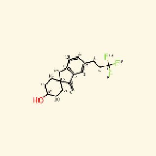 C=C1c2cc(CCC(F)(F)F)ccc2CC12CCC(O)CC2